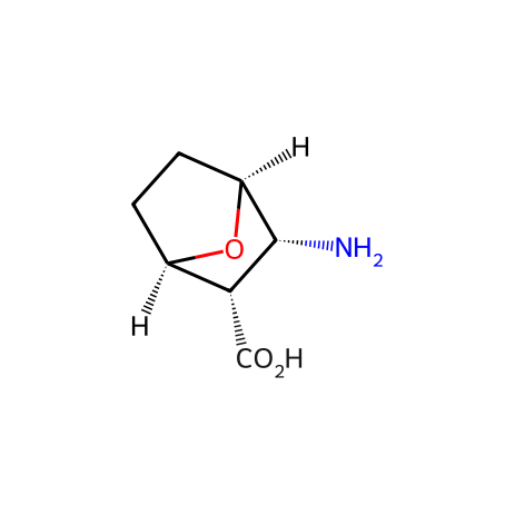 N[C@@H]1[C@H](C(=O)O)[C@H]2CC[C@@H]1O2